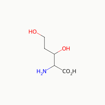 NC(C(=O)O)C(O)CCO